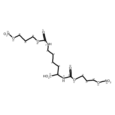 O=C(NCCCCC(NC(=O)OCCCO[N+](=O)[O-])C(=O)O)OCCCO[N+](=O)[O-]